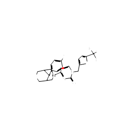 O=c1nc(N2CC3COCC(C2)C3(O)c2ccc(F)cc2)ncn1Cc1ccc(C(F)(F)F)s1